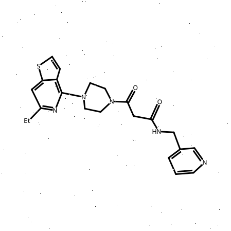 CCc1cc2sccc2c(N2CCN(C(=O)CC(=O)NCc3cccnc3)CC2)n1